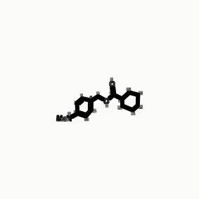 CNc1ccc(COC(=O)C2CCCCC2)cc1